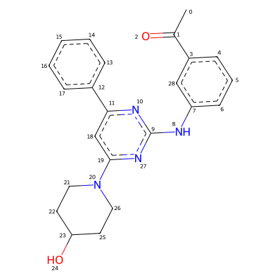 CC(=O)c1cccc(Nc2nc(-c3ccccc3)cc(N3CCC(O)CC3)n2)c1